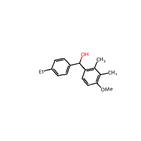 CCc1ccc(C(O)c2ccc(OC)c(C)c2C)cc1